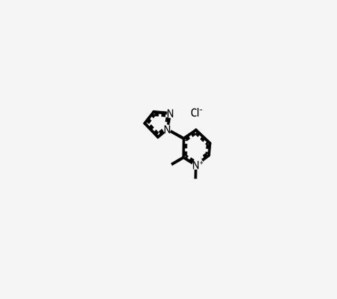 Cc1c(-n2cccn2)ccc[n+]1C.[Cl-]